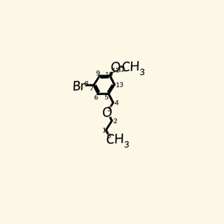 CCCOCc1cc(Br)cc(OC)c1